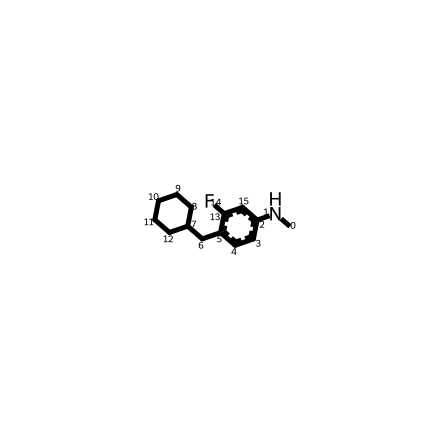 CNc1ccc(CC2CCCCC2)c(F)c1